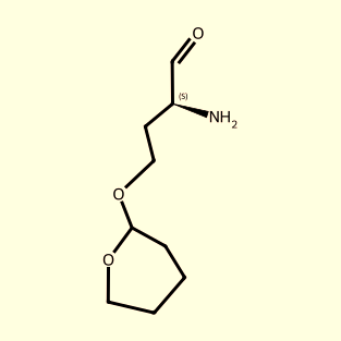 N[C@H](C=O)CCOC1CCCCO1